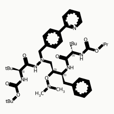 CC(C)OC(=O)N[C@H](C(=O)N[C@@H](Cc1ccccc1)[C@H](CN(Cc1ccc(-c2ccccn2)cc1)NC(=O)[C@@H](NC(=O)OC(C)(C)C)C(C)(C)C)ON(C)C)C(C)(C)C